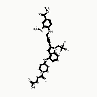 CNC(=O)c1ccc(NCC#Cc2cc3c(NC4CCN(C(=O)CCC(=O)O)CC4)cccc3n2CC(F)(F)F)c(OC)c1